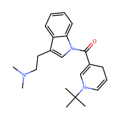 CN(C)CCc1cn(C(=O)C2=CN(C(C)(C)C)C=CC2)c2ccccc12